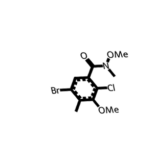 COc1c(C)c(Br)cc(C(=O)N(C)OC)c1Cl